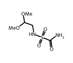 COC(CNS(=O)(=O)C(N)=O)OC